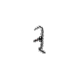 CCCCC/C=C\C/C=C\CCCCCCCCC(CCCCCCCC/C=C\C/C=C\CCCCC)OC(=O)CCCCCC